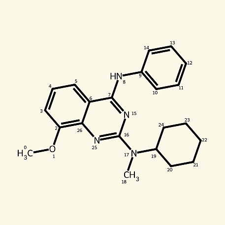 COc1cccc2c(Nc3ccccc3)nc(N(C)C3CCCCC3)nc12